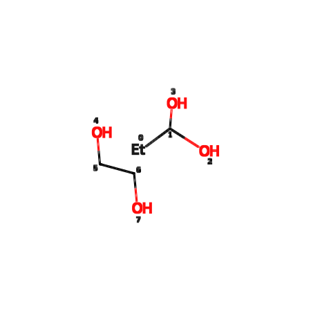 CCC(O)O.OCCO